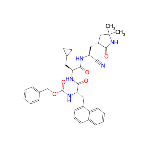 CC1(C)C[C@@H](C[C@@H](C#N)NC(=O)[C@H](CC2CC2)NC(=O)[C@H](Cc2cccc3ccccc23)NC(=O)OCc2ccccc2)C(=O)N1